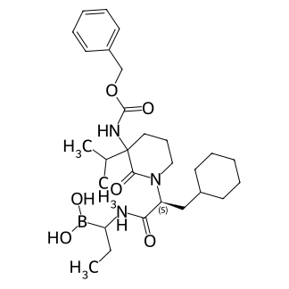 CCC(NC(=O)[C@H](CC1CCCCC1)N1CCCC(NC(=O)OCc2ccccc2)(C(C)C)C1=O)B(O)O